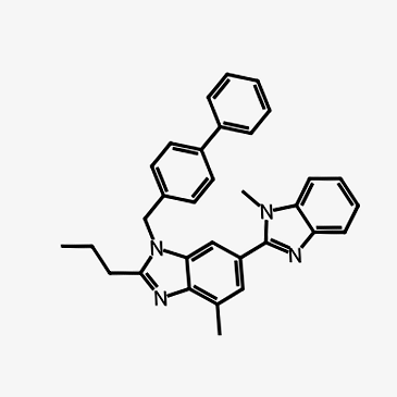 CCCc1nc2c(C)cc(-c3nc4ccccc4n3C)cc2n1Cc1ccc(-c2ccccc2)cc1